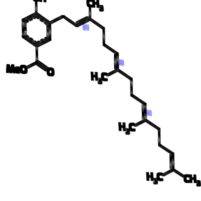 COC(=O)c1ccc(O)c(C/C=C(\C)CC/C=C(\C)CC/C=C(\C)CCC=C(C)C)c1